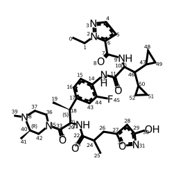 CCn1nccc1C(=O)N[C@H](C(=O)Nc1ccc([C@H](C)[C@@H](NC(=O)C(C)Cc2cc(O)no2)C(=O)N2CCN(C)[C@H](C)C2)cc1F)C(C1CC1)C1CC1